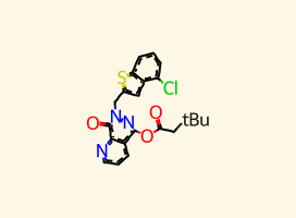 CC(C)(C)CC(=O)Oc1nn(Cc2cc3c(Cl)cccc3s2)c(=O)c2ncccc12